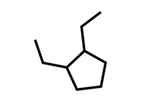 CCC1CCCC1CC